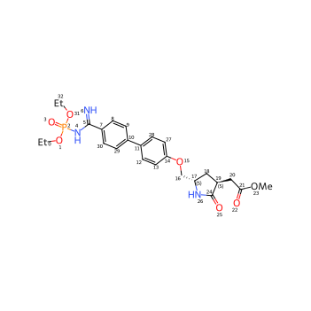 CCOP(=O)(NC(=N)c1ccc(-c2ccc(OC[C@@H]3C[C@@H](CC(=O)OC)C(=O)N3)cc2)cc1)OCC